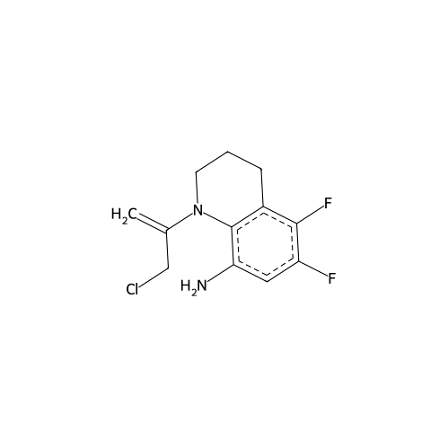 C=C(CCl)N1CCCc2c(F)c(F)cc(N)c21